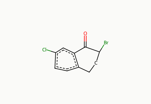 O=C1c2cc(Cl)ccc2CCC1Br